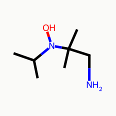 CC(C)N(O)C(C)(C)CN